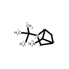 CC(C)(C)N1CC2CC1C2N